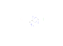 COCCc1cn(C(C)C)c2nc(Cl)cnc12